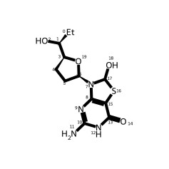 CC[C@H](O)[C@@H]1CC[C@H](N2c3nc(N)[nH]c(=O)c3SC2O)O1